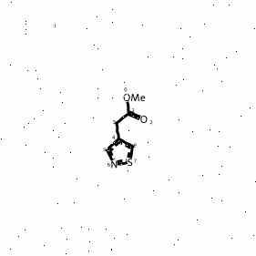 COC(=O)Cc1cnsc1